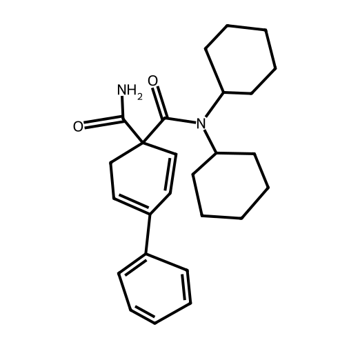 NC(=O)C1(C(=O)N(C2CCCCC2)C2CCCCC2)C=CC(c2ccccc2)=CC1